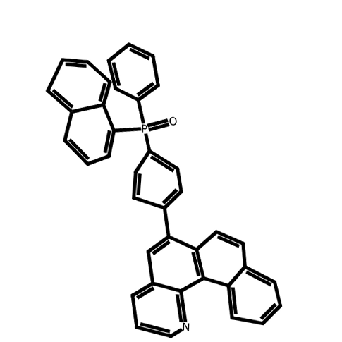 O=P(c1ccccc1)(c1ccc(-c2cc3cccnc3c3c2ccc2ccccc23)cc1)c1cccc2ccccc12